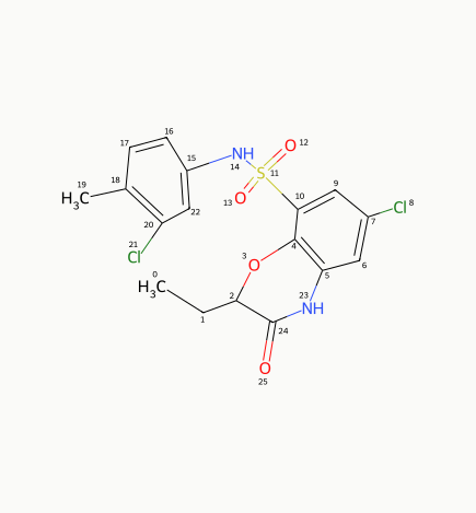 CCC1Oc2c(cc(Cl)cc2S(=O)(=O)Nc2ccc(C)c(Cl)c2)NC1=O